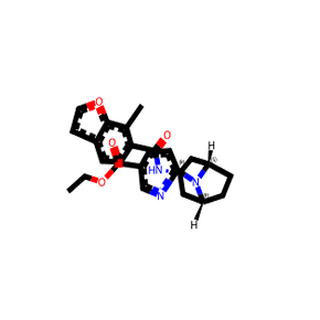 CCOC(=O)c1ccc(N2[C@@H]3CC[C@H]2C[C@@H](NC(=O)c2ccc4ccoc4c2C)C3)nc1